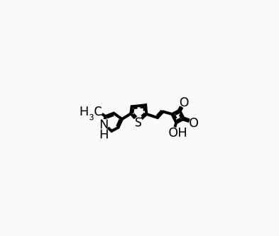 CC1=CC(c2ccc(/C=C/c3c(O)c(=O)c3=O)s2)=CCN1